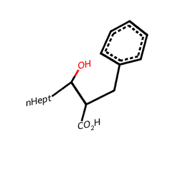 CCCCCCCC(O)C(Cc1ccccc1)C(=O)O